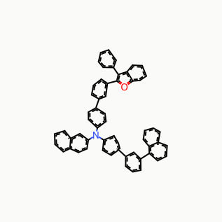 c1ccc(-c2c(-c3cccc(-c4ccc(N(c5ccc(-c6cccc(-c7cccc8ccccc78)c6)cc5)c5ccc6ccccc6c5)cc4)c3)oc3ccccc23)cc1